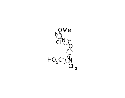 COc1cc(N2CCC(Oc3ccc(N4N=C(C(F)(F)F)C(C)C4CC(=O)O)cc3)C(C)C2)c(Cl)cn1